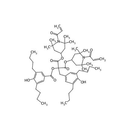 C=CC(=O)N1C(C)(C)CC(OC(=O)C(Cc2cc(CCCC)c(O)c(CCCC)c2)(OC(=O)c2cc(CCCC)c(O)c(CCCC)c2)C(=O)OC2CC(C)(C)N(C(=O)C=C)C(C)(C)C2)CC1(C)C